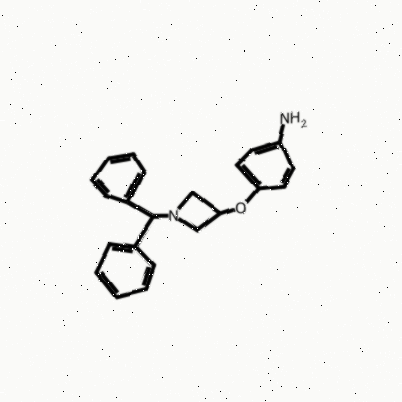 Nc1ccc(OC2CN(C(c3ccccc3)c3ccccc3)C2)cc1